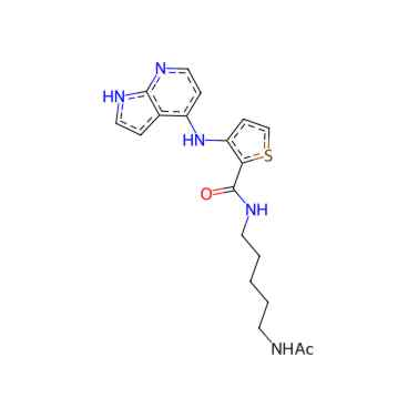 CC(=O)NCCCCCNC(=O)c1sccc1Nc1ccnc2[nH]ccc12